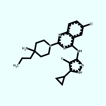 CCCC1(N)CCN(c2nc(Nc3n[nH]c(C4CC4)c3F)c3cc(Cl)ccc3n2)CC1